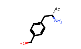 CC(=O)[C@H](N)Cc1ccc(CO)cc1